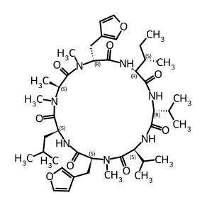 CC[C@H](C)[C@H]1NC(=O)[C@@H](Cc2ccoc2)N(C)C(=O)[C@H](C)N(C)C(=O)[C@H](CC(C)C)NC(=O)[C@H](Cc2ccoc2)N(C)C(=O)[C@H](C(C)C)NC(=O)[C@@H](C(C)C)NC1=O